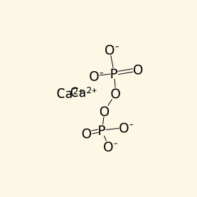 O=P([O-])([O-])OOP(=O)([O-])[O-].[Ca+2].[Ca+2]